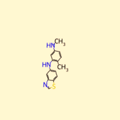 CNc1ccc(C)c(Nc2ccc3scnc3c2)c1